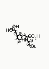 CC(C)(C)OC(=O)N[C@@H](Cc1cc(F)cc(OCB(O)O)c1)C(=O)O